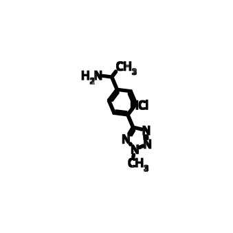 CC(N)c1ccc(-c2nnn(C)n2)cc1.Cl